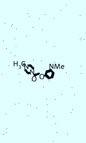 CNc1cccc(OCC(=O)N2CCN(C)CC2)c1